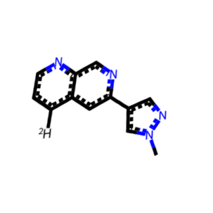 [2H]c1ccnc2cnc(-c3cnn(C)c3)cc12